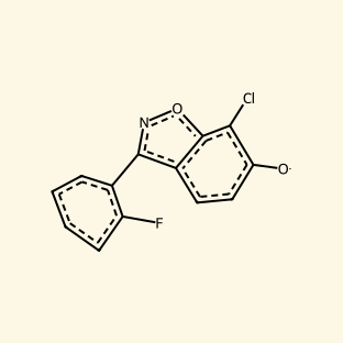 [O]c1ccc2c(-c3ccccc3F)noc2c1Cl